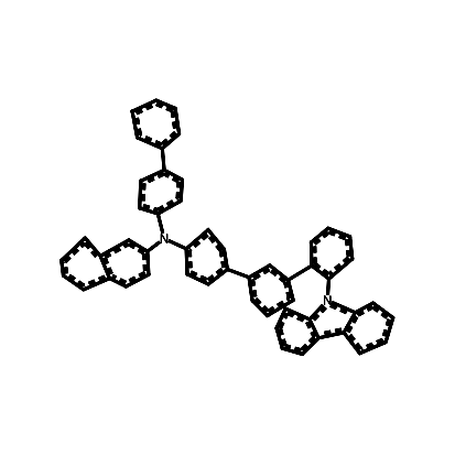 c1ccc(-c2ccc(N(c3ccc(-c4cccc(-c5ccccc5-n5c6ccccc6c6ccccc65)c4)cc3)c3ccc4ccccc4c3)cc2)cc1